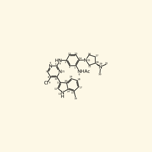 CC(=O)Nc1cc(Nc2ncc(Cl)c(-c3c[nH]c4c(C)cccc34)n2)ccc1N1CC[C@@H](N(C)C)C1